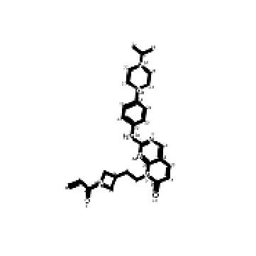 C=CC(=O)N1CC(CCn2c(=O)ccc3cnc(Nc4ccc(N5CCN(C(C)C)CC5)cc4)nc32)C1